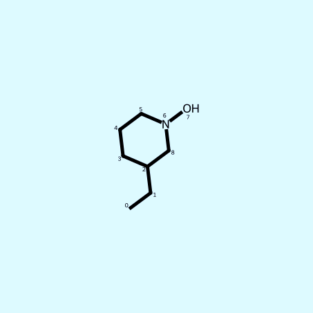 CCC1CCCN(O)C1